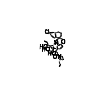 C=CC[C@H]1CCN1C(=O)C[C@](O)(C(=O)O)c1ccc2c(c1)N(C[C@@H]1CC[C@H]1[C@@H](O)C=C)C[C@@]1(CCCc3cc(Cl)ccc31)CO2